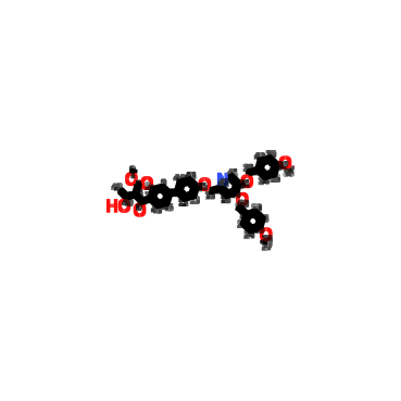 COC(=O)C(C(=O)c1ccc(-c2ccc(OCc3cc(OCc4ccc(OC)cc4)c(OCc4ccc(OC)cc4)cn3)cc2)cc1)C(C)O